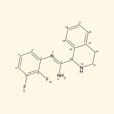 NC(=Nc1cccc(F)c1F)C1NCCc2ccccc21